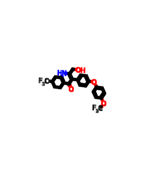 O=c1c2c([nH]c(CO)c1-c1ccc(Oc3ccc(OC(F)(F)F)cc3)cc1)CC(C(F)(F)F)CC2